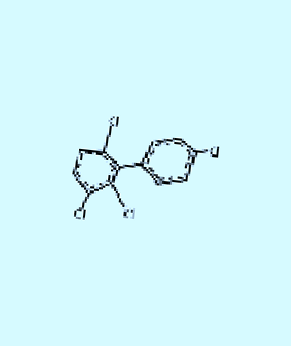 Clc1ccc(-c2c(Cl)ccc(Cl)c2Cl)cc1